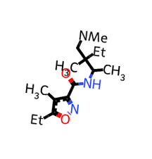 CCc1onc(C(=O)NC(C)C(C)(CC)CNC)c1C